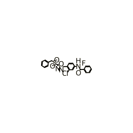 O=C(Nc1ccc(-c2nnc(S(=O)(=O)Cc3ccccc3)o2)c(Cl)c1)c1ccccc1F